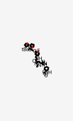 Cc1nc(C(=O)NCc2ccc(F)c(OCCO[Si](c3ccccc3)(c3ccccc3)C(C)(C)C)c2)cc(-c2ncn(C[C@H]3CC[C@H](NS(C)(=O)=O)CC3)n2)n1